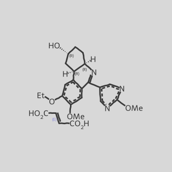 CCOc1cc2c(cc1OC)C(c1cnc(OC)nc1)=N[C@@H]1CC[C@@H](O)C[C@H]21.O=C(O)/C=C/C(=O)O